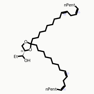 CCCCC/C=C\C/C=C\CCCCCCCCC1(CCCCCCCC/C=C\C/C=C\CCCCC)OC[C@@H](C(O)CC)O1